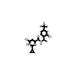 CC(NC(=O)c1cc(=O)[nH]c(C2CC2)n1)c1ccc(C(F)(F)F)cc1Cl